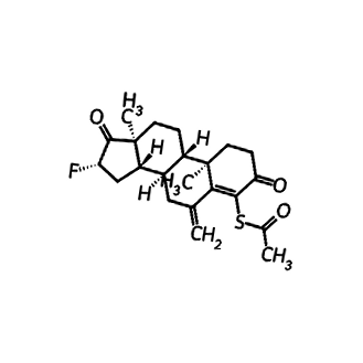 C=C1C[C@@H]2[C@H](CC[C@]3(C)C(=O)[C@@H](F)C[C@@H]23)[C@@]2(C)CCC(=O)C(SC(C)=O)=C12